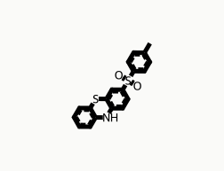 Cc1ccc(S(=O)(=O)c2ccc3c(c2)Sc2ccccc2N3)cc1